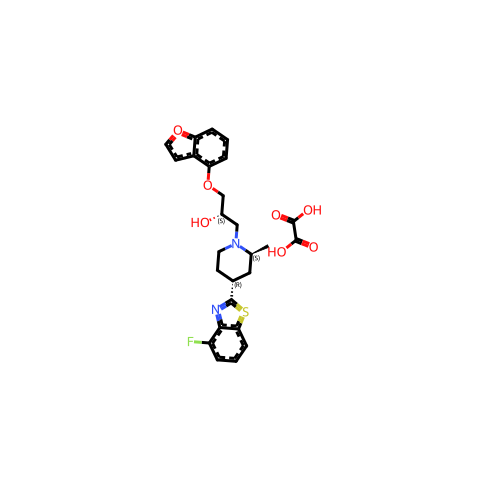 C[C@H]1C[C@H](c2nc3c(F)cccc3s2)CCN1C[C@H](O)COc1cccc2occc12.O=C(O)C(=O)O